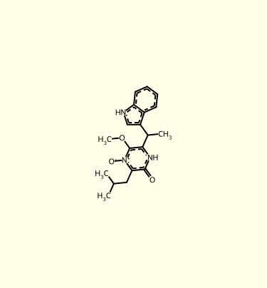 COc1c(C(C)c2c[nH]c3ccccc23)[nH]c(=O)c(CC(C)C)[n+]1[O-]